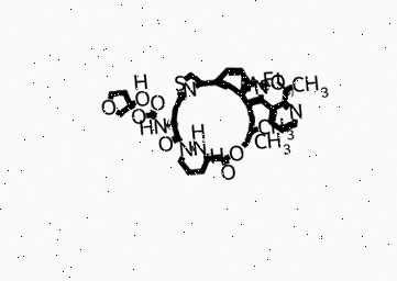 CCn1c(-c2cccnc2[C@H](C)OC)c2c3cc(ccc31)C1CSC(=N1)C[C@H](NC(=O)OC1(O)CCOC1)C(=O)N1CCC[C@H](N1)C(=O)OCC(C)(C)C2